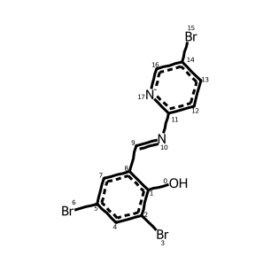 Oc1c(Br)cc(Br)cc1/C=N/c1ccc(Br)cn1